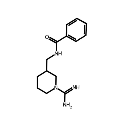 N=C(N)N1CCCC(CNC(=O)c2ccccc2)C1